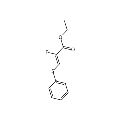 CCOC(=O)/C(F)=C/Sc1ccccc1